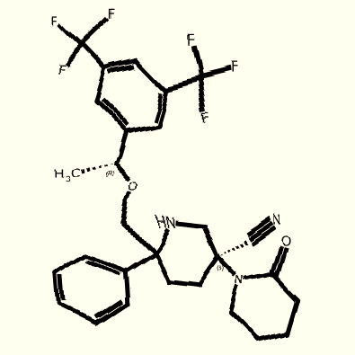 C[C@@H](OCC1(c2ccccc2)CC[C@](C#N)(N2CCCCC2=O)CN1)c1cc(C(F)(F)F)cc(C(F)(F)F)c1